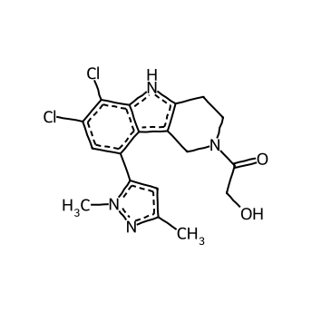 Cc1cc(-c2cc(Cl)c(Cl)c3[nH]c4c(c23)CN(C(=O)CO)CC4)n(C)n1